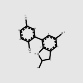 CC1Cc2cc(F)cc(-c3cc(Cl)ccc3Cl)c2O1